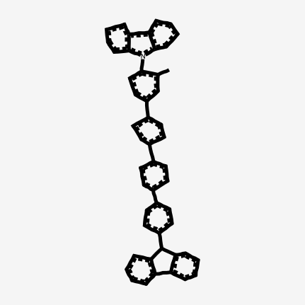 Cc1cc(-c2ccc(-c3ccc(-c4ccc(C5c6ccccc6-c6ccccc65)cc4)cc3)cc2)ccc1-n1c2ccccc2c2ccccc21